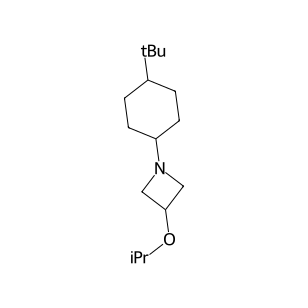 CC(C)OC1CN(C2CCC(C(C)(C)C)CC2)C1